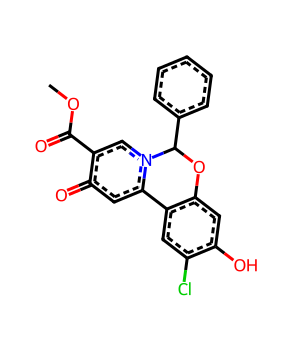 COC(=O)c1cn2c(cc1=O)-c1cc(Cl)c(O)cc1OC2c1ccccc1